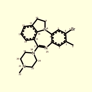 Cc1cc2c(cc1Br)N1CCc3cccc(c31)C(N1CCN(C)CC1)=N2